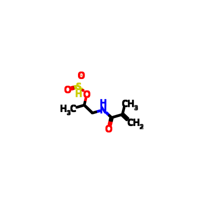 C=C(C)C(=O)NCC(C)O[SH](=O)=O